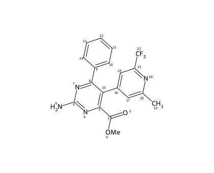 COC(=O)c1nc(N)nc(-c2ccccc2)c1-c1cc(C)nc(C(F)(F)F)c1